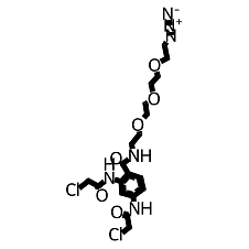 [N-]=[N+]=NCCOCCOCCOCCNC(=O)c1ccc(NC(=O)CCl)cc1NC(=O)CCl